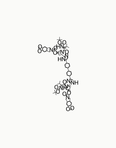 CC(C)[C@H](NC(=O)OC(C)(C)C)C(=O)N1C[C@H](OC(=O)N2Cc3cc4c(cc3C2)OCO4)CC1c1ncc(-c2ccc(-c3ccc(-c4c[nH]c([C@@H]5C[C@@H](OC(=O)N6Cc7cc8c(cc7C6)OCO8)CN5C(=O)[C@@H](NC(=O)OC(C)(C)C)C(C)C)n4)cc3)cc2)[nH]1